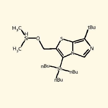 CCC[CH2][Sn]([CH2]CCC)([CH2]CCC)[c]1c(CO[SiH](C)C)sc2c(C(C)(C)C)ncn12